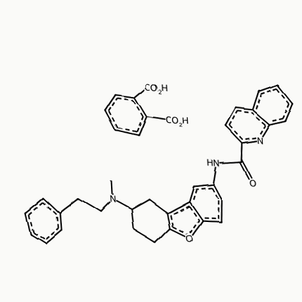 CN(CCc1ccccc1)C1CCc2oc3ccc(NC(=O)c4ccc5ccccc5n4)cc3c2C1.O=C(O)c1ccccc1C(=O)O